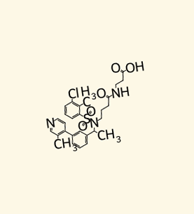 Cc1cnccc1-c1cccc(C(C)N(CCCC(=O)NCCC(=O)O)S(=O)(=O)c2cccc(Cl)c2C)c1